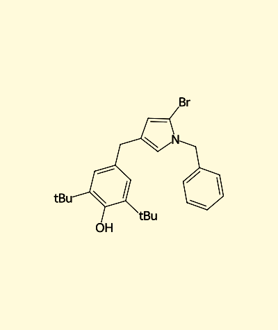 CC(C)(C)c1cc(Cc2cc(Br)n(Cc3ccccc3)c2)cc(C(C)(C)C)c1O